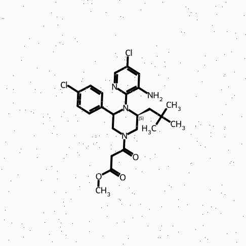 COC(=O)CC(=O)N1CC(c2ccc(Cl)cc2)N(c2ncc(Cl)cc2N)[C@@H](CC(C)(C)C)C1